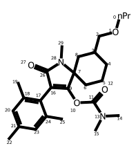 CCCOCC1CCCC2(C1)C(OC(=O)N(C)C)=C(c1c(C)cc(C)cc1C)C(=O)N2C